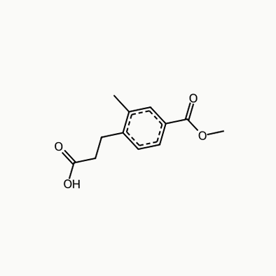 COC(=O)c1ccc(CCC(=O)O)c(C)c1